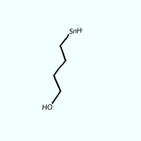 OCCC[CH2][SnH]